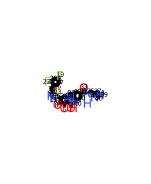 CN1C(=O)c2c(O)c(=O)c(-c3nnc(Cc4ccc(F)cc4F)s3)cn2N(C)C12CCC(C(=O)NCc1cn(C)cn1)CC2